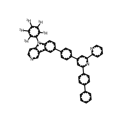 [2H]c1c([2H])c([2H])c(-n2c3ccncc3c3cc(-c4ccc(-c5cc(-c6ccc(-c7ccccc7)cc6)nc(-c6ccccn6)c5)cc4)ccc32)c([2H])c1[2H]